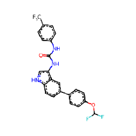 O=C(Nc1ccc(C(F)(F)F)cc1)Nc1c[nH]c2ccc(-c3ccc(OC(F)F)cc3)cc12